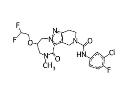 CN1CC(OCC(F)F)Cn2nc3c(c2C1=O)CN(C(=O)Nc1ccc(F)c(Cl)c1)CC3